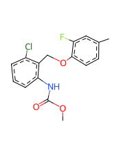 COC(=O)Nc1cccc(Cl)c1COc1ccc(C)cc1F